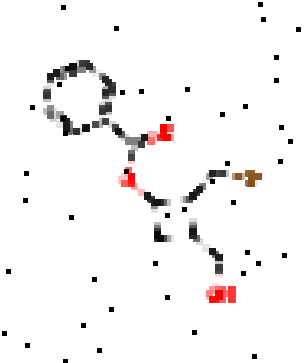 O=C(OC1CC(CO)C1CBr)c1ccccc1